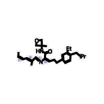 C\C=C/C=C(C)/C=N/C(=C/CCc1ccc(CC(C)C)c(CC)c1)C(=O)NC1(C)COC1